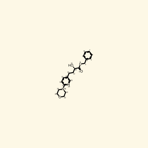 O=C(OCc1ccccc1)[C@H](O)CCc1ccc(N2CCOCC2)nc1